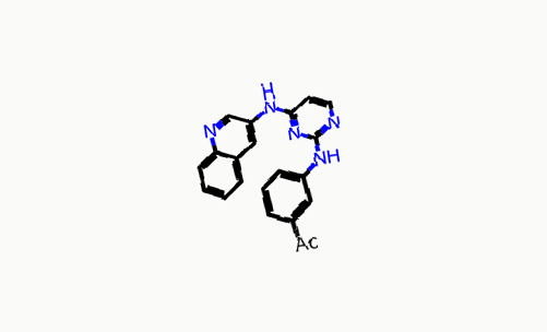 CC(=O)c1cccc(Nc2nccc(Nc3cnc4ccccc4c3)n2)c1